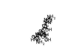 Nc1nc2c(nnn2[C@@H]2O[C@H](CO)[C@@H]3C[C@]32P(=O)(S)OC[C@H]2O[C@@H](c3cnn4c(N)ncnc34)C[C@@H]2O)c(=O)[nH]1